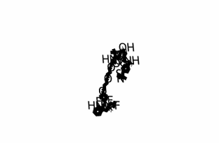 Cc1ncsc1-c1ccc([C@H](C)NC(=O)[C@@H]2C[C@@H](O)CN2C(=O)C(NC(=O)COCCCOCCCCOc2cc(F)c([C@@H]3c4[nH]c5ccccc5c4C[C@@H](C)N3CC(C)(C)F)c(F)c2)C(C)(C)C)cc1